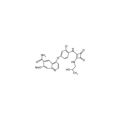 COc1cc2nccc(Oc3ccc(Nc4c(NCC(C)O)c(=O)c4=O)c(Cl)c3)c2cc1C(N)=O